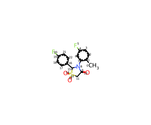 Cc1ccc(F)cc1N1C(=O)CS(=O)(=O)C1c1ccc(F)cc1